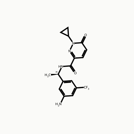 C[C@@H](NC(=O)c1ccc(=O)n(C2CC2)n1)c1cc(N)cc(C(F)(F)F)c1